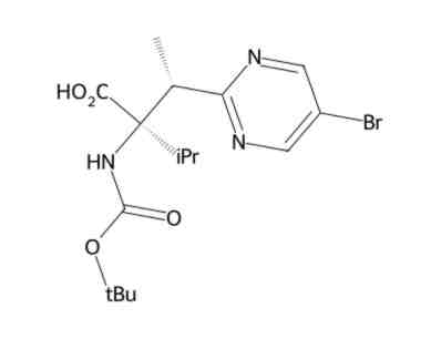 CC(C)[C@](NC(=O)OC(C)(C)C)(C(=O)O)[C@H](C)c1ncc(Br)cn1